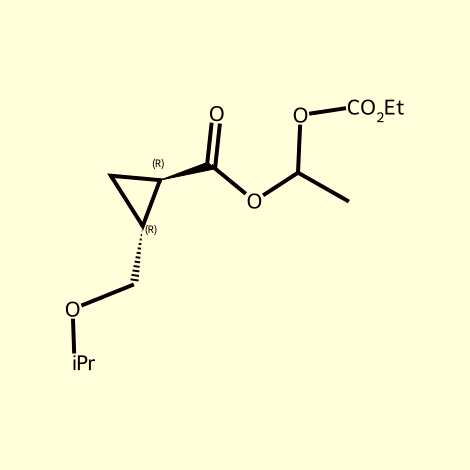 CCOC(=O)OC(C)OC(=O)[C@@H]1C[C@H]1COC(C)C